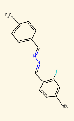 CCCCc1ccc(C=NN=Cc2ccc(C(F)(F)F)cc2)c(F)c1